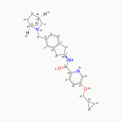 O=C(N[C@@H]1Cc2ccc(CN3C[C@@H]4CC[C@H]3C4)cc2C1)c1ccc(OCC2CC2)cn1